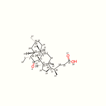 CC[C@H]1C(=O)[C@@H]2[C@H](CC[C@]3(C)[C@@H]([C@H](C)CCC(=O)O)CC[C@@H]23)[C@@]2(C)CC[C@@H](C)C[C@@H]12